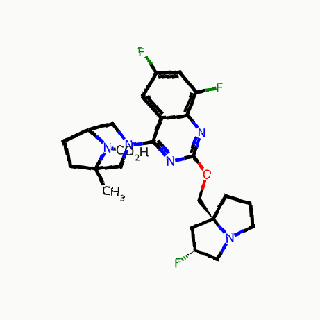 CC12CCC(CN(c3nc(OC[C@@]45CCCN4C[C@H](F)C5)nc4c(F)cc(F)cc34)C1)N2C(=O)O